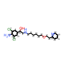 Nc1c(Cl)cc([C@@H](O)CNCCCCCCOCCc2ccccn2)cc1Cl